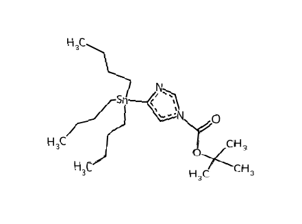 CCC[CH2][Sn]([CH2]CCC)([CH2]CCC)[c]1cn(C(=O)OC(C)(C)C)cn1